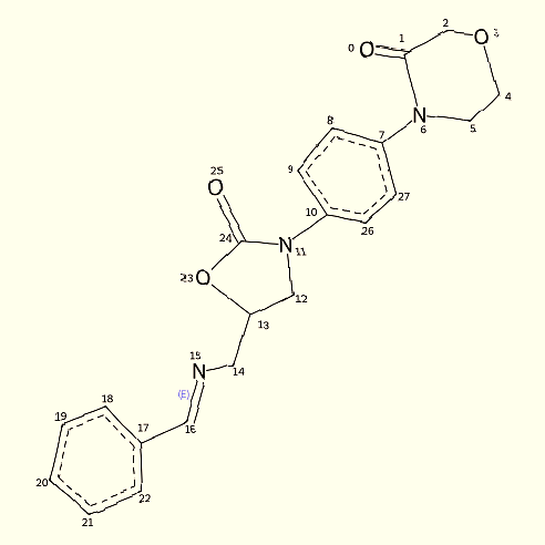 O=C1COCCN1c1ccc(N2CC(C/N=C/c3ccccc3)OC2=O)cc1